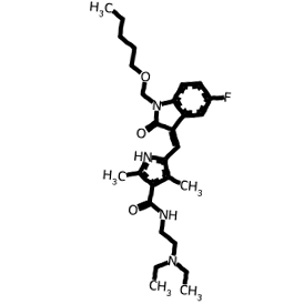 CCCCCOCN1C(=O)/C(=C\c2[nH]c(C)c(C(=O)NCCN(CC)CC)c2C)c2cc(F)ccc21